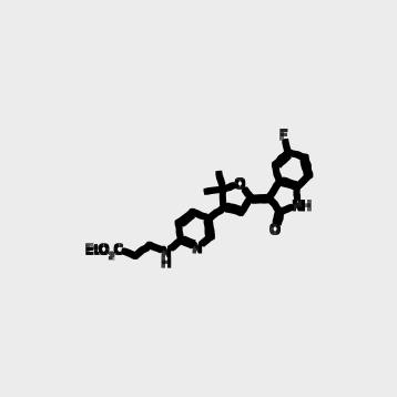 CCOC(=O)CCNc1ccc(C2=C/C(=C3\C(=O)Nc4ccc(F)cc43)OC2(C)C)cn1